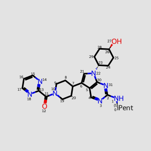 CCC[C@H](C)Nc1ncc2c(C3CCN(C(=O)c4ncccn4)CC3)cn([C@H]3CC[C@H](O)CC3)c2n1